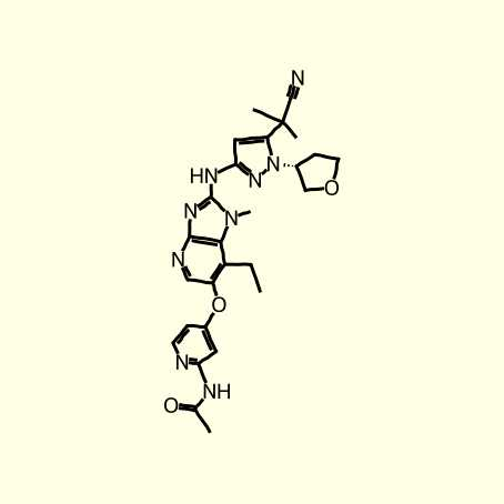 CCc1c(Oc2ccnc(NC(C)=O)c2)cnc2nc(Nc3cc(C(C)(C)C#N)n([C@@H]4CCOC4)n3)n(C)c12